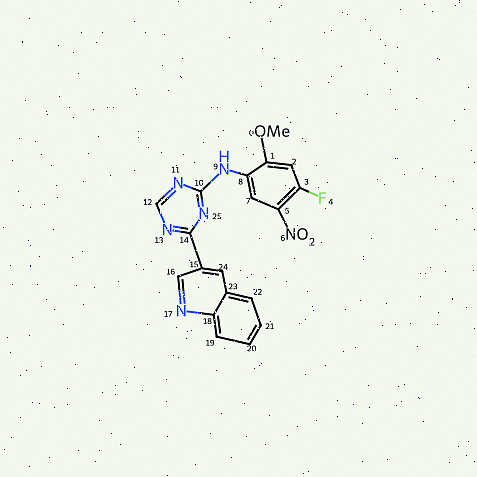 COc1cc(F)c([N+](=O)[O-])cc1Nc1ncnc(-c2cnc3ccccc3c2)n1